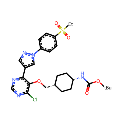 CCS(=O)(=O)c1ccc(-n2cc(-c3ncnc(Cl)c3OC[C@H]3CC[C@@H](NC(=O)OC(C)(C)C)CC3)cn2)cc1